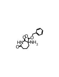 NC1(C(=O)OCc2ccccc2)CCCC(=O)NC1=O